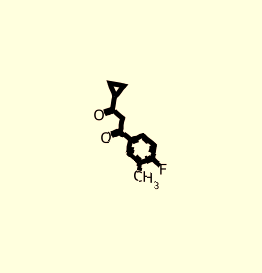 Cc1cc(C(=O)CC(=O)C2CC2)ccc1F